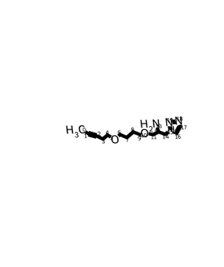 CC#CCCOCCCCOCC(N)Cn1ccnn1